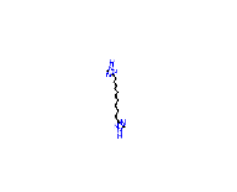 c1nc(CCCCCCCCCCc2nc[nH]n2)n[nH]1